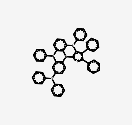 c1ccc(-c2sc3c(c2-c2ccccc2)N(c2ccccc2)c2cccc4c2B3c2ccc(N(c3ccccc3)c3ccccc3)cc2N4c2ccccc2)cc1